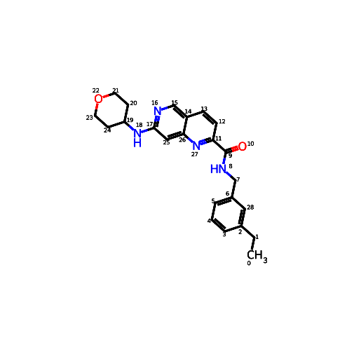 CCc1cccc(CNC(=O)c2ccc3cnc(NC4CCOCC4)cc3n2)c1